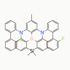 Cc1cc2c3c(c1)N(c1ccccc1-c1ccccc1F)c1cccc4c1B3c1c(cccc1[Si]4(C)C)N2c1ccccc1-c1ccccc1F